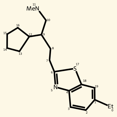 CCc1ccc2nc(CCC(CNC)C3CCCC3)sc2c1